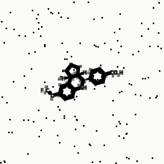 O=C(O)c1ccc([C@@H]2Nc3ccc(OC(F)(F)F)cc3[C@@H]3CCC[C@@H]32)cc1